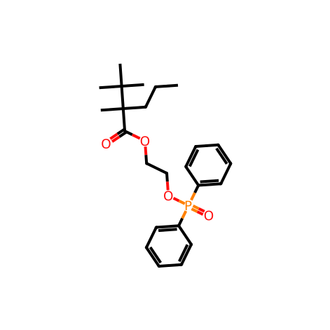 CCCC(C)(C(=O)OCCOP(=O)(c1ccccc1)c1ccccc1)C(C)(C)C